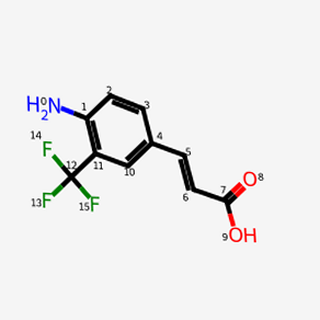 Nc1ccc(C=CC(=O)O)cc1C(F)(F)F